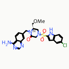 COC[C@@H]1CN(S(=O)(=O)c2cc3cc(Cl)ccc3[nH]2)CC(=O)N1Cc1ccc2c(N)ncnc2c1